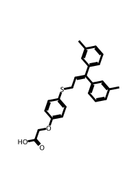 Cc1cccc(C(=CCSc2ccc(OCC(=O)O)cc2)c2cccc(C)c2)c1